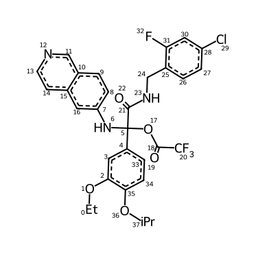 CCOc1cc(C(Nc2ccc3cnccc3c2)(OC(=O)C(F)(F)F)C(=O)NCc2ccc(Cl)cc2F)ccc1OC(C)C